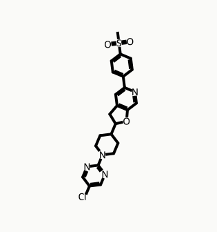 CS(=O)(=O)c1ccc(-c2cc3c(cn2)OC(C2CCN(c4ncc(Cl)cn4)CC2)C3)cc1